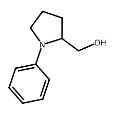 OCC1CCCN1c1ccccc1